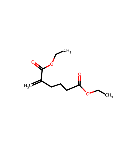 C=C(CCCC(=O)OCC)C(=O)OCC